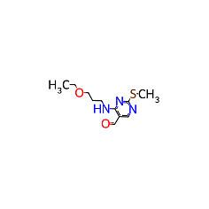 CCOCCCNc1nc(SC)ncc1C=O